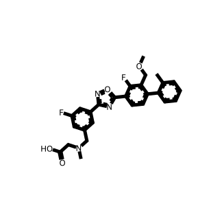 COCc1c(-c2ccccc2C)ccc(-c2nc(-c3cc(F)cc(CN(C)CC(=O)O)c3)no2)c1F